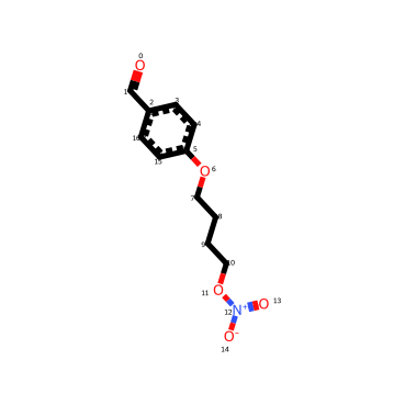 O=Cc1ccc(OCCCCO[N+](=O)[O-])cc1